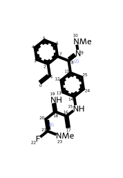 C=Cc1ccccc1/C(=N\NC)c1ccc(NC(=C)C(=N)/C=C(/F)NC)cc1